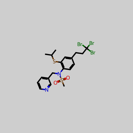 CC(C)Sc1cc(CCC(Br)(Br)Br)ccc1N(Cc1cccnc1)S(C)(=O)=O